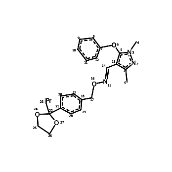 Cc1nn(C)c(Oc2ccccc2)c1/C=N/OCc1ccc(C2(C(C)C)OCCO2)cc1